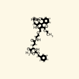 CCOC(=O)C1=C(COCCNC(=O)CC[C@H](NC(=O)OCc2ccccc2)C(N)=O)NC(C=C=O)=C(OC)C1c1ccccc1Cl